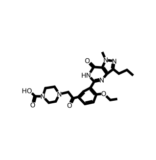 CCCc1nn(C)c2c(=O)[nH]c(-c3cc(C(=O)CN4CCN(C(=O)O)CC4)ccc3OCC)nc12